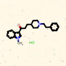 Cl.Cn1cc(C(=O)CCC2CCN(CCc3ccccc3)CC2)c2ccccc21